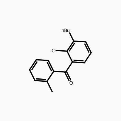 CCCCc1cccc(C(=O)c2ccccc2C)c1Cl